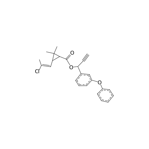 C#CC(OC(=O)C1C(/C=C(\C)Cl)C1(C)C)c1cccc(Oc2ccccc2)c1